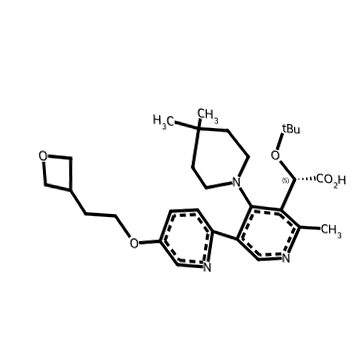 Cc1ncc(-c2ccc(OCCC3COC3)cn2)c(N2CCC(C)(C)CC2)c1[C@H](OC(C)(C)C)C(=O)O